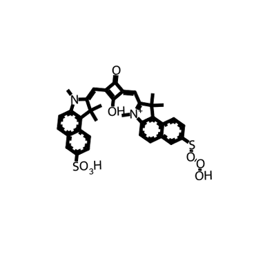 CN1C(=CC2=C(O)C(=CC3=[N+](C)c4ccc5cc(SOOO)ccc5c4C3(C)C)C2=O)C(C)(C)c2c1ccc1cc(S(=O)(=O)O)ccc21